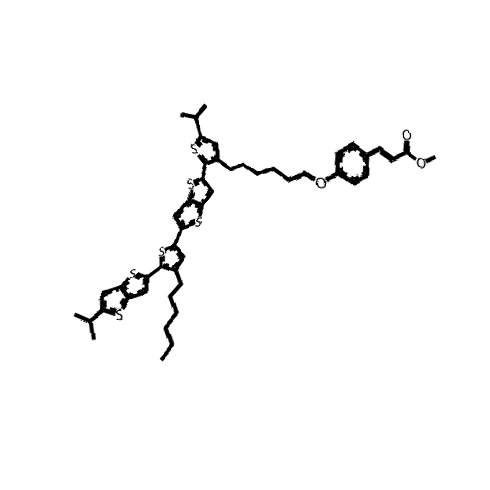 CCCCCCc1cc(-c2cc3sc(-c4sc(C(C)C)cc4CCCCCCOc4ccc(/C=C/C(=O)OC)cc4)cc3s2)sc1-c1cc2sc(C(C)C)cc2s1